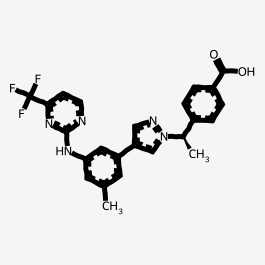 Cc1cc(Nc2nccc(C(F)(F)F)n2)cc(-c2cnn([C@H](C)c3ccc(C(=O)O)cc3)c2)c1